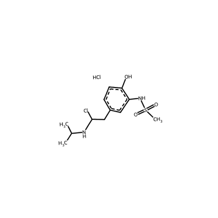 CC(C)NC(Cl)Cc1ccc(O)c(NS(C)(=O)=O)c1.Cl